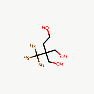 OCCC(CO)(CO)C(S)(S)S